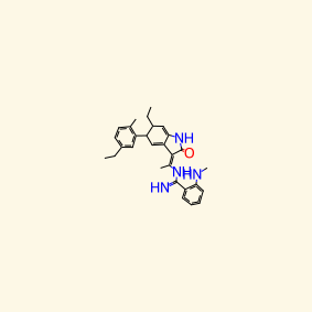 CCc1ccc(C)c(C2C=C3C(=CC2CC)NC(=O)/C3=C(/C)NC(=N)c2ccccc2NC)c1